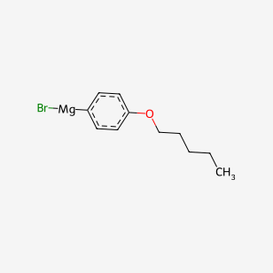 CCCCCOc1cc[c]([Mg][Br])cc1